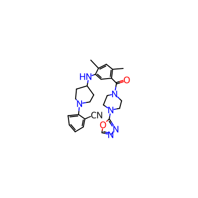 Cc1cc(C)c(C(=O)N2CCN(c3nnco3)CC2)cc1NC1CCN(c2ccccc2C#N)CC1